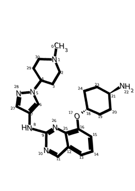 CN1CCC(n2cc(Nc3ncc4cccc(O[C@H]5CC[C@H](N)CC5)c4n3)cn2)CC1